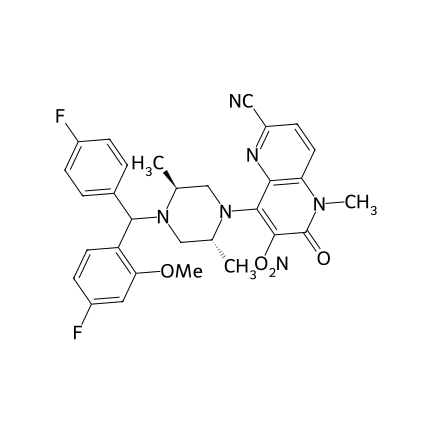 COc1cc(F)ccc1C(c1ccc(F)cc1)N1C[C@@H](C)N(c2c([N+](=O)[O-])c(=O)n(C)c3ccc(C#N)nc23)C[C@@H]1C